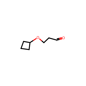 O=[C]CCOC1CCC1